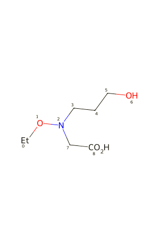 CCON(CCCO)CC(=O)O